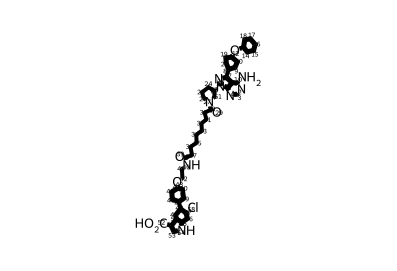 Nc1ncnc2c1c(-c1ccc(Oc3ccccc3)cc1)nn2[C@@H]1CCCN(C(=O)CCCCCCCCC(=O)NCCOc2ccc(-c3cc4c(C(=O)O)c[nH]c4cc3Cl)cc2)C1